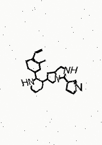 C=CC1=C(C)CC(C2NCCCC2C2CC3CNC(C4C=NCC4)N3C2)CC1